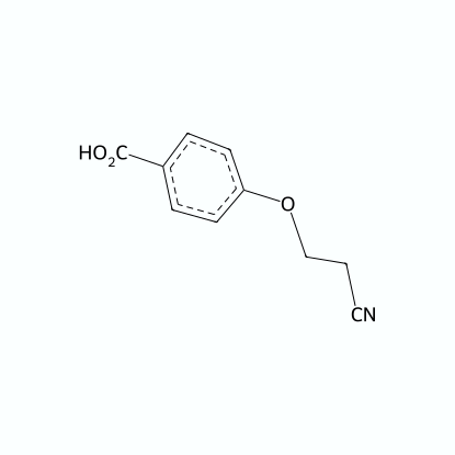 N#CCCOc1ccc(C(=O)O)cc1